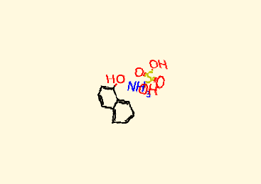 N.O=S(=O)(O)O.Oc1cccc2ccccc12